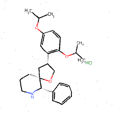 CC(C)Oc1ccc(OC(C)C)c([C@@H]2CO[C@]3(CCCN[C@H]3c3ccccc3)C2)c1.Cl